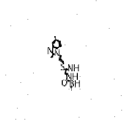 Cc1ccc2c(c1)nc(C)n2C/C=C/SC(=N)CNC(=O)BI